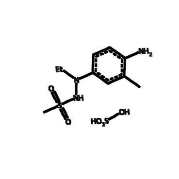 CCN(NS(C)(=O)=O)c1ccc(N)c(C)c1.O=S(=O)(O)O